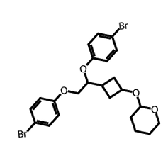 Brc1ccc(OCC(Oc2ccc(Br)cc2)C2CC(OC3CCCCO3)C2)cc1